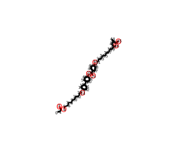 C=CC(=O)OCCCCCCCCCOc1ccc(-c2ccc(OC(=O)c3ccc(OCCCCCCCCCC4CC(=C)C(=O)O4)cc3)cc2)cc1